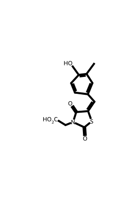 Cc1cc(C=C2SC(=O)N(CC(=O)O)C2=O)ccc1O